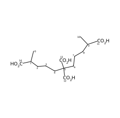 CC(CCCC(CCCC(C)C(=O)O)(C(=O)O)C(=O)O)C(=O)O